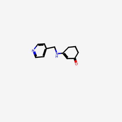 O=C1C=C(NCc2ccncc2)CCC1